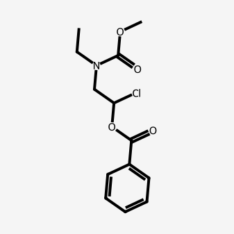 CCN(CC(Cl)OC(=O)c1ccccc1)C(=O)OC